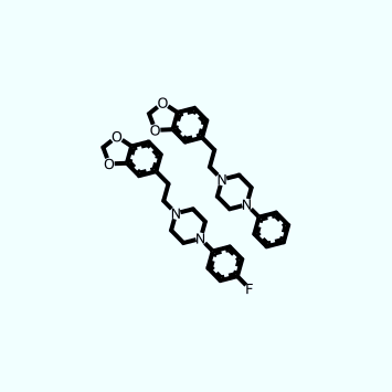 Fc1ccc(N2CCN(CCc3ccc4c(c3)OCO4)CC2)cc1.c1ccc(N2CCN(CCc3ccc4c(c3)OCO4)CC2)cc1